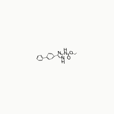 CCOC(=O)Nc1nc(-c2ccc(-c3ccccc3)cc2)c[nH]1